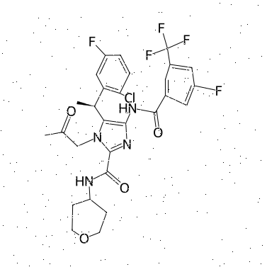 CC(=O)Cn1c(C(=O)NC2CCOCC2)nc(NC(=O)c2cc(F)cc(C(F)(F)F)c2)c1[C@@H](C)c1cc(F)ccc1Cl